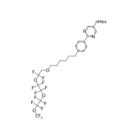 CCCCCCc1cnc(-c2ccc(CCCCCCOCC(F)(F)OC(F)(F)C(F)(F)OC(F)(F)C(F)(F)OC(F)(F)F)cc2)nc1